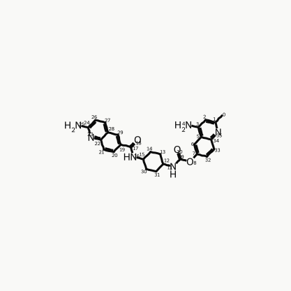 Cc1cc(N)c2cc(OC(=O)NC3CCC(NC(=O)c4ccc5nc(N)ccc5c4)CC3)ccc2n1